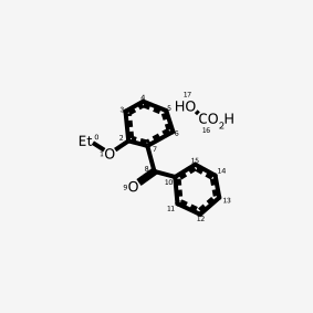 CCOc1ccccc1C(=O)c1ccccc1.O=C(O)O